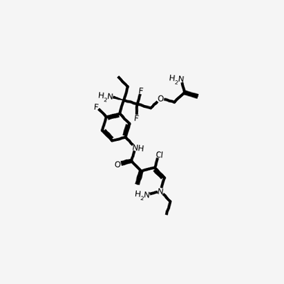 C=C(N)COCC(F)(F)[C@@](N)(CC)c1cc(NC(=O)C(=C)/C(Cl)=C\N(N)CC)ccc1F